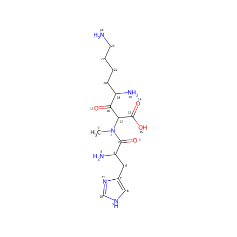 CN(C(=O)C(N)Cc1c[nH]cn1)C(C(=O)O)C(=O)C(N)CCCCN